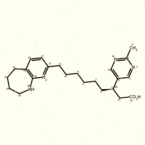 Cc1ncc([C@H](CCCCCCc2ccc3c(n2)NCCCC3)CC(=O)O)cn1